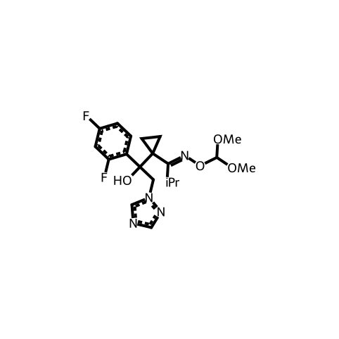 COC(OC)ON=C(C(C)C)C1(C(O)(Cn2cncn2)c2ccc(F)cc2F)CC1